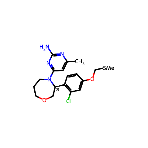 CSCOc1ccc([C@H]2COCCCN2c2cc(C)nc(N)n2)c(Cl)c1